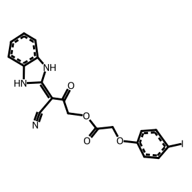 N#CC(C(=O)COC(=O)COc1ccc(I)cc1)=C1Nc2ccccc2N1